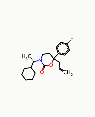 C=CCC1(c2ccc(F)cc2)CCN([C@@H](C)C2CCCCC2)C(=O)O1